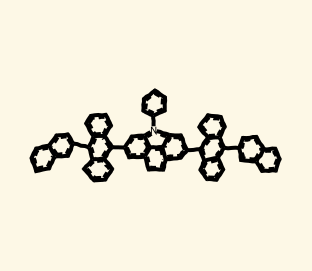 c1ccc(-n2c3cc(-c4c5ccccc5c(-c5ccc6ccccc6c5)c5ccccc45)cc4ccc5cc(-c6c7ccccc7c(-c7ccc8ccccc8c7)c7ccccc67)cc2c5c43)cc1